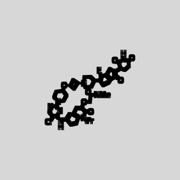 CNC(=O)COc1cc2cc(Nc3nc(N4CCC(O[C@H]5C[C@@H](N6CCC(c7ccc8c(c7F)CN(C7CCC(=O)NC7=O)C8=O)CC6)C5)CC4)ncc3Cl)ccc2n(C(C)C)c1=O